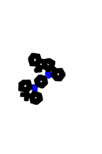 CC1(C)c2ccccc2N(c2ccc(-n3c4ccccc4c4ccc5c(c43)C(C)(C)c3ccccc3-5)cc2)c2ccccc21